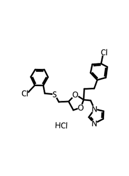 Cl.Clc1ccc(CCC2(Cn3ccnc3)OCC(CSCc3ccccc3Cl)O2)cc1